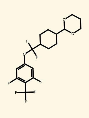 Fc1cc(OC(F)(F)C2CCC(C3OCCCO3)CC2)cc(F)c1C(F)(F)F